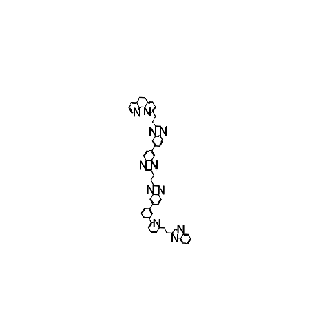 c1cc(-c2ccc3ncc(CCc4cnc5ccc(-c6ccc7ncc(CCc8ccc9ccc%10cccnc%10c9n8)nc7c6)cc5n4)nc3c2)cc(-c2cccc(CCc3cnc4ccccc4n3)n2)c1